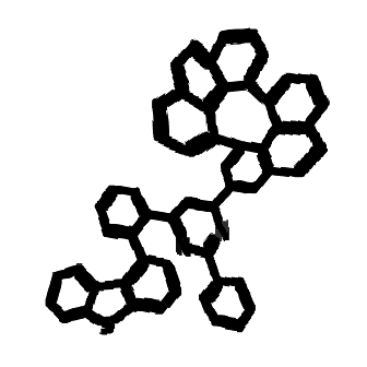 c1ccc(-c2nc(-c3cc4ccc5cccc6c7cccc8ccc9cccc(c(c3)c4c56)c9c87)cc(-c3ccccc3-c3cccc4sc5ccccc5c34)n2)cc1